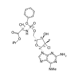 CNc1nc(N)nc2c1ncn2[C@@H]1O[C@H](CO[P@@](=O)(N[C@@H](C)C(=O)OC(C)C)Oc2ccccc2)[C@@H](O)[C@]1(F)Cl